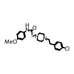 COc1ccc(NC(=O)SN2CCN(CCc3ccc(Cl)cc3)CC2)cc1